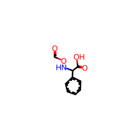 O=CONC(C(=O)O)c1ccccc1